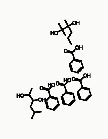 CC(C)CC(O)C(C)O.CCCC(C)(O)C(C)(C)O.O=C(O)c1ccccc1.O=C(O)c1ccccc1.O=C(O)c1ccccc1.O=C(O)c1ccccc1